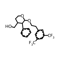 OCC1CCOC(OCCc2cc(C(F)(F)F)cc(C(F)(F)F)c2)C1c1ccccc1